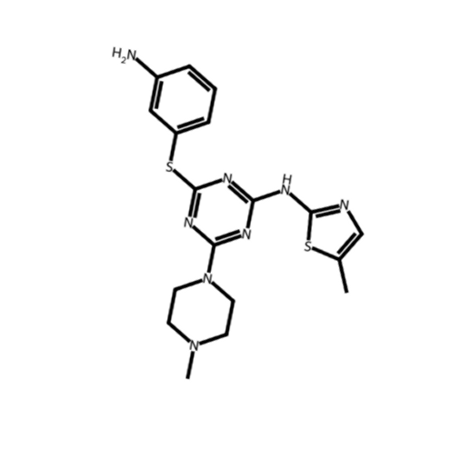 Cc1cnc(Nc2nc(Sc3cccc(N)c3)nc(N3CCN(C)CC3)n2)s1